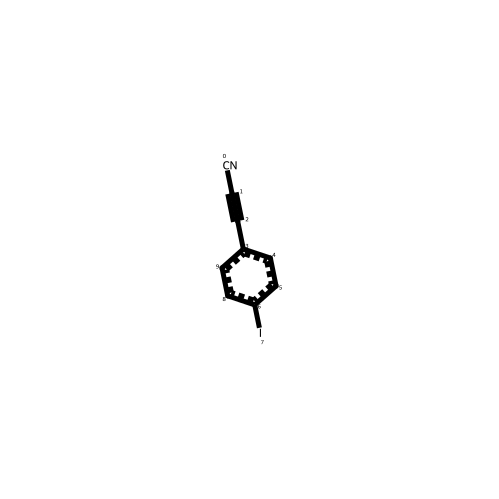 N#CC#Cc1ccc(I)cc1